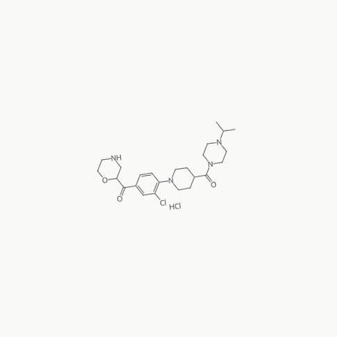 CC(C)N1CCN(C(=O)C2CCN(c3ccc(C(=O)C4CNCCO4)cc3Cl)CC2)CC1.Cl